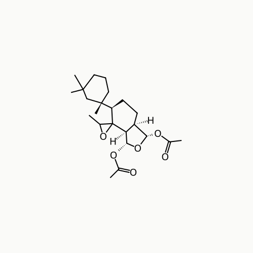 CC(=O)O[C@@H]1O[C@H](OC(C)=O)[C@@H]2[C@H]1CC[C@H]([C@@]1(C)CCCC(C)(C)C1)C21OC1C